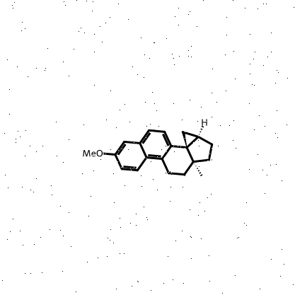 COc1ccc2c3c(ccc2c1)[C@]12C[C@H]1C[CH][C@@]2(C)C[CH]3